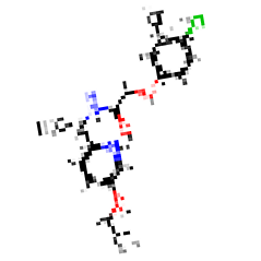 C[C@@H](NC(=O)COc1ccc(Cl)c(C(F)(F)F)c1)c1ccc(OCC(F)(F)F)cn1